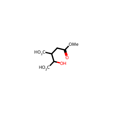 COC(=O)CC(C(=O)O)C(O)C(=O)O